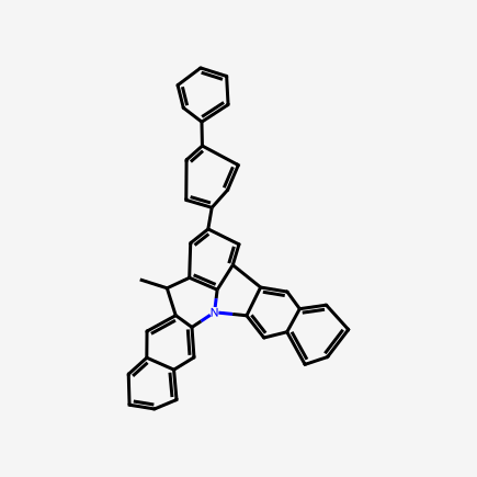 CC1c2cc3ccccc3cc2-n2c3cc4ccccc4cc3c3cc(-c4ccc(-c5ccccc5)cc4)cc1c32